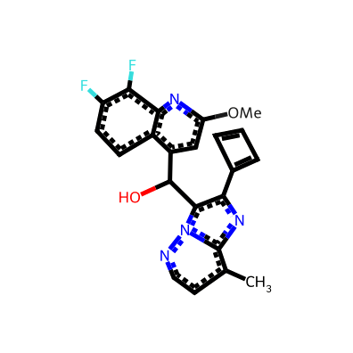 COc1cc(C(O)c2c(C3=CC=C3)nc3c(C)ccnn23)c2ccc(F)c(F)c2n1